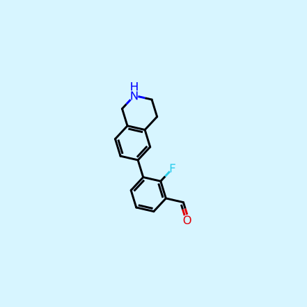 O=Cc1cccc(-c2ccc3c(c2)CCNC3)c1F